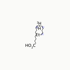 [2H]C([2H])(/C=C\C/C=C\CC)/C=C\CCCCCCCC(=O)O